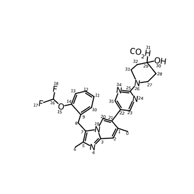 Cc1cc2nc(C)c(Cc3ccccc3OC(F)F)n2cc1-c1cnc(N2CCC(O)(C(=O)O)CC2)nc1